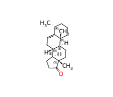 C[C@@H]1CCC[C@@]2(C)C1=CC[C@@H]1[C@@H]2CC[C@]2(C)C(=O)CC[C@@H]12